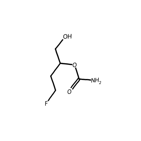 NC(=O)OC(CO)CCF